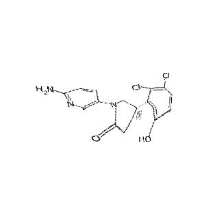 Nc1ccc(N2C[C@H](c3c(O)ccc(Cl)c3Cl)CC2=O)cn1